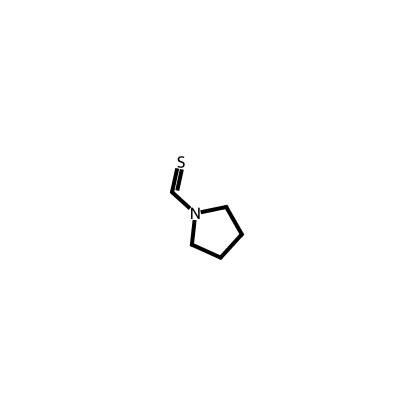 S=CN1CCCC1